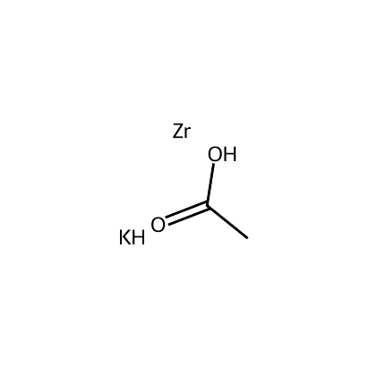 CC(=O)O.[KH].[Zr]